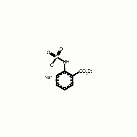 CCOC(=O)c1ccccc1NS(=O)(=O)[O-].[Na+]